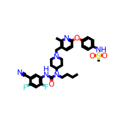 CCCCN(C(=O)Nc1cc(C#N)c(F)cc1F)C1CCN(Cc2ccc(Oc3ccc(NS(C)(=O)=O)cc3)nc2C)CC1